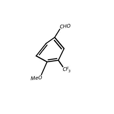 COc1ccc(C=O)cc1C(F)(F)F